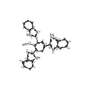 COc1c(-c2nc3ccccc3[nH]2)cc(-c2nc3ccccc3[nH]2)cc1-c1nc2ccccc2[nH]1